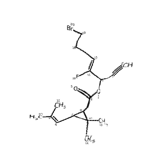 C#CC(OC(=O)C1C(C=C(C)C)C1(C)C)/C(F)=C/CCBr